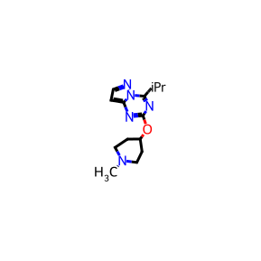 CC(C)c1nc(OC2CCN(C)CC2)nc2ccnn12